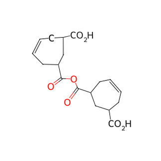 O=C(O)C1CC=CCC(C(=O)OC(=O)C2CC=CCC(C(=O)O)C2)C1